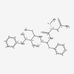 CC(C)CC(N[C@@H](O)C(Cc1ccccc1)NC(=O)[C@H](CC(C)C)OC(N)=O)C(O)C(O)Nc1cccnc1